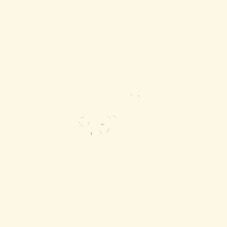 C=C(C)C(=O)OCCOC(=O)Nc1cccc(C(=O)c2ccccc2)c1